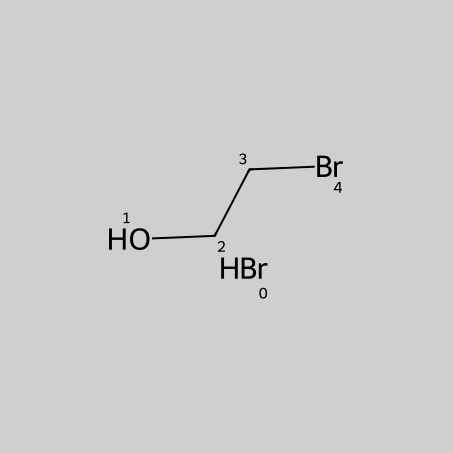 Br.OCCBr